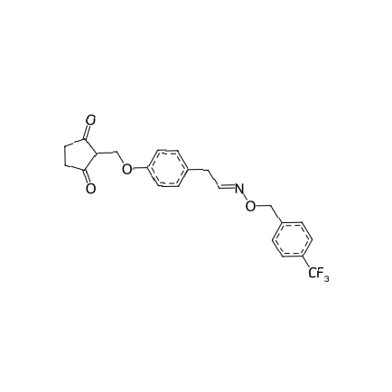 O=C1CCC(=O)C1COc1ccc(CC=NOCc2ccc(C(F)(F)F)cc2)cc1